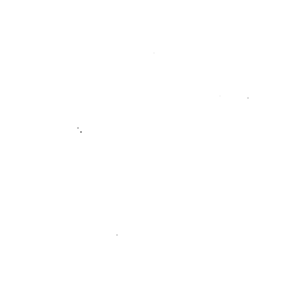 CNCc1cc(-c2cccnc2F)c(S(=O)(=O)c2cccc(OC)n2)s1.O=C(O)C=CC(=O)O